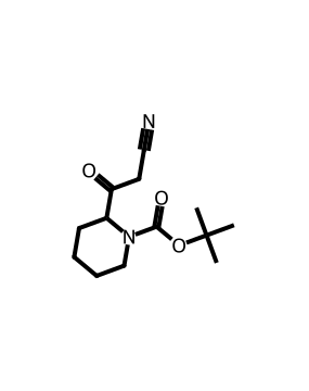 CC(C)(C)OC(=O)N1CCCCC1C(=O)CC#N